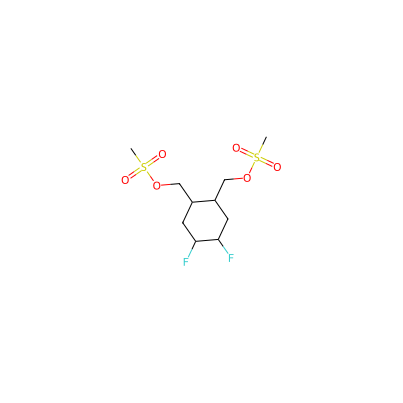 CS(=O)(=O)OCC1CC(F)C(F)CC1COS(C)(=O)=O